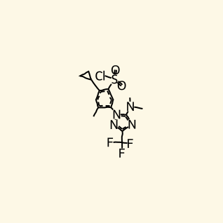 Cc1cc(C2CC2)c(S(=O)(=O)Cl)cc1-n1nc(C(F)(F)F)nc1N(C)C